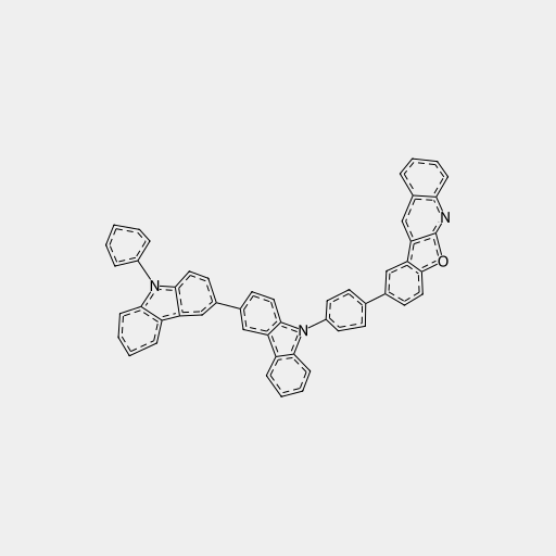 c1ccc(-n2c3ccccc3c3cc(-c4ccc5c(c4)c4ccccc4n5-c4ccc(-c5ccc6oc7nc8ccccc8cc7c6c5)cc4)ccc32)cc1